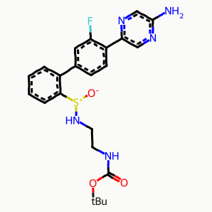 CC(C)(C)OC(=O)NCCN[S+]([O-])c1ccccc1-c1ccc(-c2cnc(N)cn2)c(F)c1